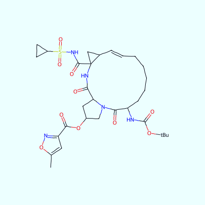 Cc1cc(C(=O)OC2CC3C(=O)NC4(C(=O)NS(=O)(=O)C5CC5)CC4/C=C/CCCCCC(NC(=O)OC(C)(C)C)C(=O)N3C2)no1